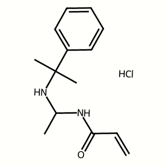 C=CC(=O)NC(C)NC(C)(C)c1ccccc1.Cl